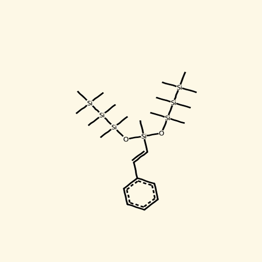 C[Si](C=Cc1ccccc1)(O[Si](C)(C)[Si](C)(C)[Si](C)(C)C)O[Si](C)(C)[Si](C)(C)[Si](C)(C)C